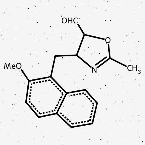 COc1ccc2ccccc2c1CC1N=C(C)OC1C=O